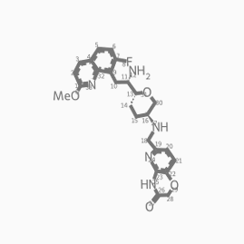 COc1ccc2ccc(F)c(C[C@H](N)[C@H]3CC[C@H](NCc4ccc5c(n4)NC(=O)CO5)CO3)c2n1